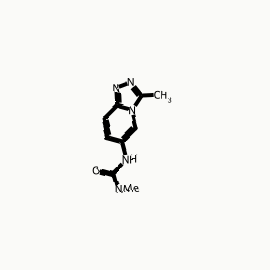 CNC(=O)Nc1ccc2nnc(C)n2c1